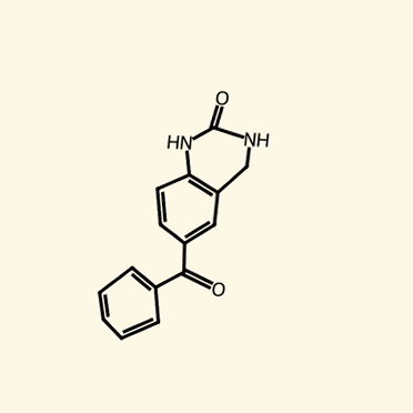 O=C1NCc2cc(C(=O)c3ccccc3)ccc2N1